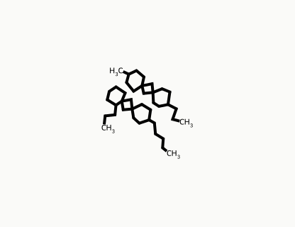 CCCC1CCC2(CC1)CC1(CCC(C)CC1)C2.CCCCCC1CCC2(CC1)CC1(CCCCC1CCC)C2